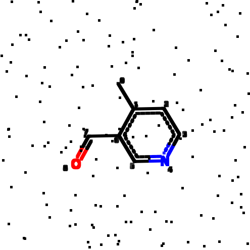 Cc1ccncc1[C]=O